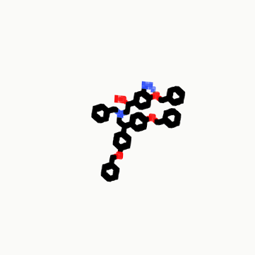 Nc1cc([C@@H](O)CN(Cc2ccccc2)CC(c2ccc(OCc3ccccc3)cc2)c2ccc(OCc3ccccc3)cc2)ccc1OCc1ccccc1